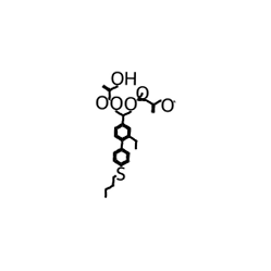 C=C(CO)C(=O)OCC(COC1OC1C(=C)COC)c1ccc(-c2ccc(SCCCC)cc2)c(CC)c1